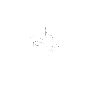 OC(Nc1cncc(-c2ccc3[nH]nc(-c4nc5c(-c6ccoc6)nccc5[nH]4)c3c2)c1)C1CCCCC1